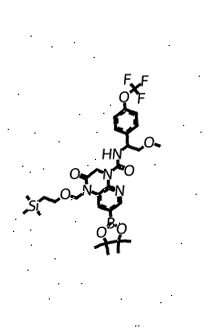 COCC(NC(=O)N1CC(=O)N(COCC[Si](C)(C)C)c2cc(B3OC(C)(C)C(C)(C)O3)cnc21)c1ccc(OC(F)(F)F)cc1